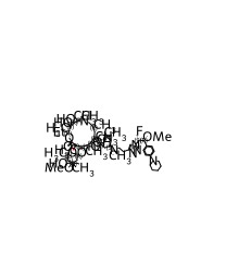 CC[C@H]1OC(=O)[C@H](C)[C@@H](O[C@H]2C[C@@](C)(OC)[C@@H](O)[C@H](C)O2)[C@H](C)[C@@H](O[C@H]2C[C@@H](N(C)CCc3cn([C@H](CF)[C@H](OC)c4ccc(N5CCCCC5)cc4)nn3)C[C@@H](C)O2)[C@](C)(O)C[C@@H](C)CN(C)[C@H](C)[C@@H](O)[C@]1(C)O